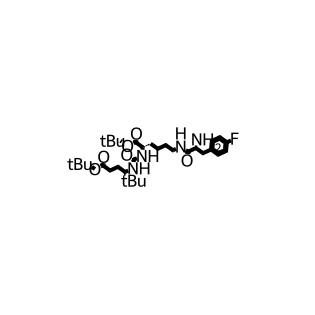 CC(C)(C)OC(=O)CC[C@H](NC(=O)N[C@@H](CCCCNC(=O)[C@@H](N)Cc1ccc(F)cc1)C(=O)OC(C)(C)C)C(C)(C)C